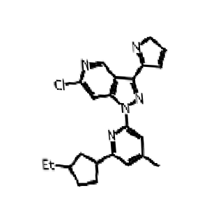 CCC1CCC(c2cc(C)cc(-n3nc(C4=NCC=C4)c4cnc(Cl)cc43)n2)C1